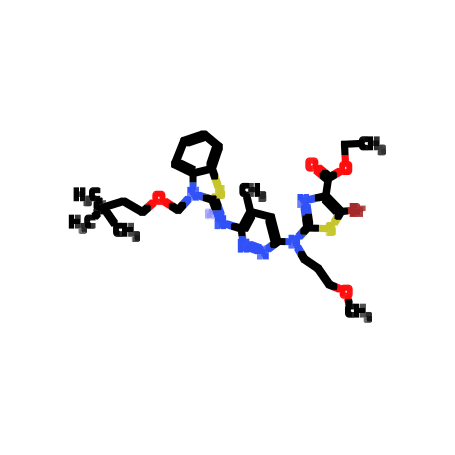 CCOC(=O)c1nc(N(CCCOC)c2cc(C)c(/N=c3\sc4ccccc4n3COCC[Si](C)(C)C)nn2)sc1Br